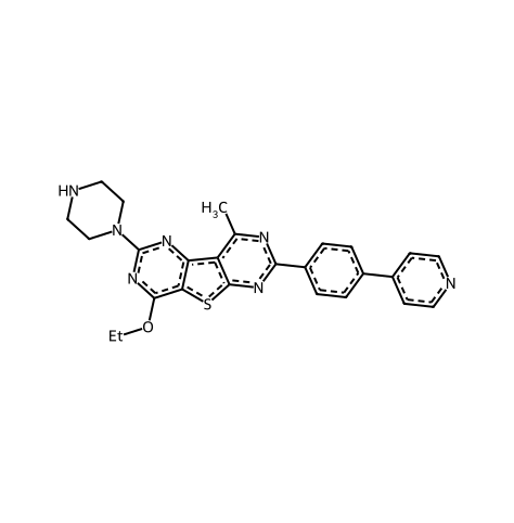 CCOc1nc(N2CCNCC2)nc2c1sc1nc(-c3ccc(-c4ccncc4)cc3)nc(C)c12